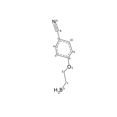 BCCOc1ccc(C#N)cc1